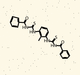 Cc1c(NC(=S)NC(=O)c2ccccc2)cccc1NC(=S)NC(=O)c1ccccc1